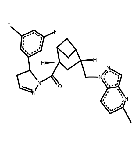 Cc1ccc2c(cnn2C[C@@H]2C[C@H](C(=O)N3N=CCC3c3cc(F)cc(F)c3)C3CC2C3)n1